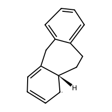 [CH]1C=CC=C2Cc3ccccc3CC[C@H]12